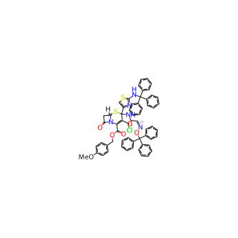 COc1ccc(COC(=O)C2=C(CCl)C(NC(=O)/C=N\OC(c3ccccc3)(c3ccccc3)c3ccccc3)(c3csc(NC(c4ccccc4)(c4ccccc4)c4ccccc4)n3)S[C@@H]3CC(=O)N23)cc1